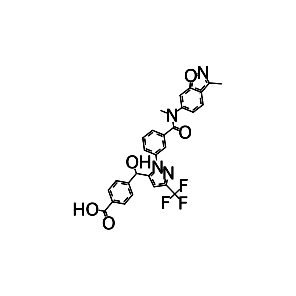 Cc1noc2cc(N(C)C(=O)c3cccc(-n4nc(C(F)(F)F)cc4C(O)c4ccc(C(=O)O)cc4)c3)ccc12